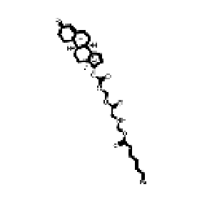 C[C@]12CC[C@H]3[C@@H](CCC4=CC(=O)CC[C@@]43C)[C@@H]1CC[C@@H]2OC(=O)OCOC(=O)CNCOC(=O)CCCCCBr